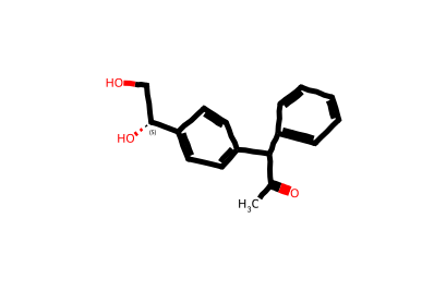 CC(=O)C(c1ccccc1)c1ccc([C@H](O)CO)cc1